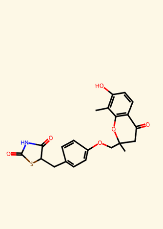 Cc1c(O)ccc2c1OC(C)(COc1ccc(CC3SC(=O)NC3=O)cc1)CC2=O